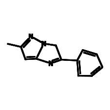 Cc1cc2n(n1)CC(c1ccccc1)=N2